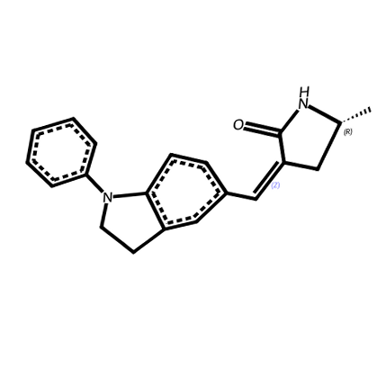 C[C@@H]1C/C(=C/c2ccc3c(c2)CCN3c2ccccc2)C(=O)N1